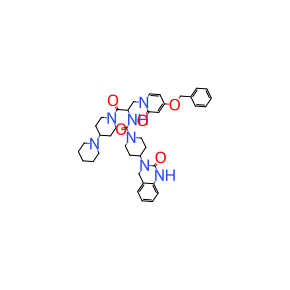 O=C(NC(Cn1ccc(OCc2ccccc2)cc1=O)C(=O)N1CCC(N2CCCCC2)CC1)N1CCC(N2Cc3ccccc3NC2=O)CC1